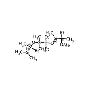 CCC(CC)(O[SiH](C)[C@](C)(CC)OC)[Si](C)(C)O[C@](C)(CC)[SiH](C)C